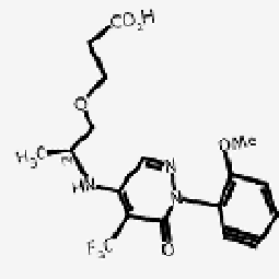 COc1ccc#cc1-n1ncc(N[C@@H](C)COCCC(=O)O)c(C(F)(F)F)c1=O